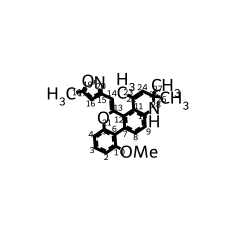 COc1cccc2c1-c1ccc3c(c1C(=Cc1cc(C)on1)O2)C(C)=CC(C)(C)N3